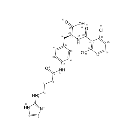 O=C(CCCNc1ncc[nH]1)Nc1ccc(C[C@H](NC(=O)c2c(Cl)cccc2Cl)C(=O)O)cc1